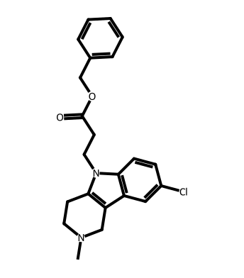 CN1CCc2c(c3cc(Cl)ccc3n2CCC(=O)OCc2ccccc2)C1